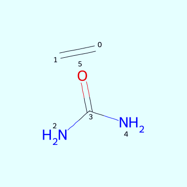 C=C.NC(N)=O